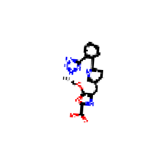 CCOc1oc(C(=O)O)nc1Cc1ccc(-c2ccccc2-c2nnn[nH]2)nc1